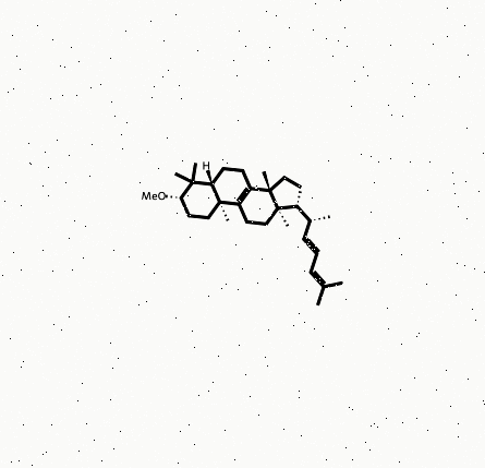 CO[C@H]1CC[C@]2(C)C3=C(CC[C@H]2C1(C)C)[C@]1(C)CC[C@H]([C@H](C)/C=C/C=C(C)C)[C@@]1(C)CC3